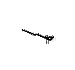 CCCCCCCCCCCCC#CCCCCCCCCC(=O)NC1CCNC(=O)CC1